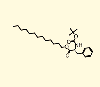 CCCCCCCCCCCCCOC(=O)[C@H](Cc1ccccc1)NC(=O)OC(C)(C)C